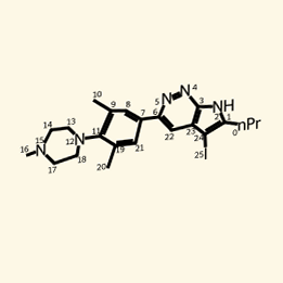 CCCc1[nH]c2nnc(-c3cc(C)c(N4CCN(C)CC4)c(C)c3)cc2c1I